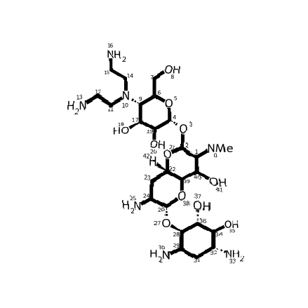 CNC1C(O[C@H]2OC(CO)[C@@H](N(CCN)CCN)[C@H](O)C2O)O[C@H]2CC(N)[C@@H](O[C@@H]3C(N)C[C@@H](N)C(O)[C@H]3O)OC2C1O